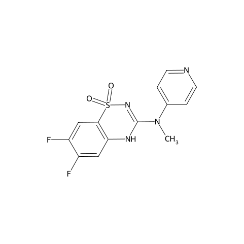 CN(C1=NS(=O)(=O)c2cc(F)c(F)cc2N1)c1ccncc1